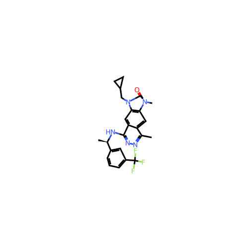 Cc1nnc(N[C@H](C)c2cccc(C(F)(F)F)c2)c2cc3c(cc12)n(C)c(=O)n3CC1CC1